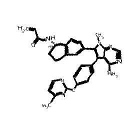 C=CC(=O)N[C@H]1CCc2cc(-c3c(-c4ccc(Oc5nccc(C)n5)cc4)c4c(N)ncnc4n3C)ccc21